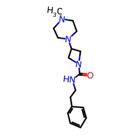 CN1CCN(C2CN(C(=O)NCCc3ccccc3)C2)CC1